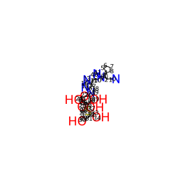 N#CC[C@H](C1CCCC1)n1cc(-c2ncnc3c2ccn3C2O[C@H](O)[C@@H](O[C@H]3C[C@@H](O)C[C@H](CO)S3)[C@@H](O)[C@H]2O)cn1